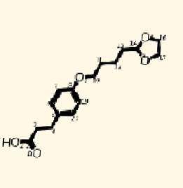 O=C(O)CCc1ccc(OCCCCC2OCCO2)cc1